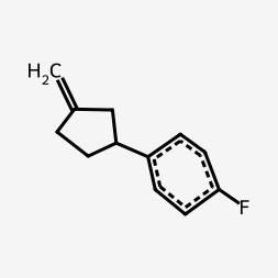 C=C1CCC(c2ccc(F)cc2)C1